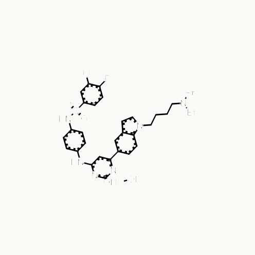 CCN(CC)CCCCn1ccc2cc(-c3cc(Nc4ccc(NS(=O)(=O)c5ccc(F)c(Cl)c5)cc4)ncn3)ccc21.O=CO